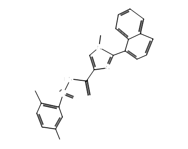 Cc1ccc(C)c(S(=O)(=O)NC(=O)c2cn(C)c(-c3cccc4ccccc34)n2)c1